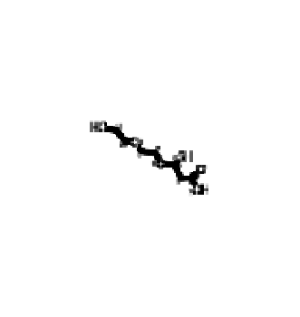 O=C(O)CC(S)OCCOCCO